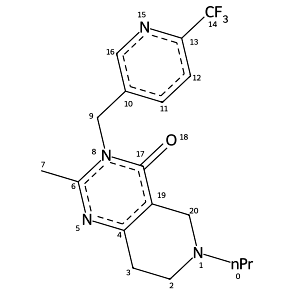 CCCN1CCc2nc(C)n(Cc3ccc(C(F)(F)F)nc3)c(=O)c2C1